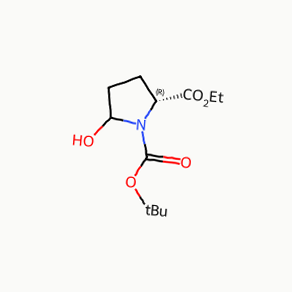 CCOC(=O)[C@H]1CCC(O)N1C(=O)OC(C)(C)C